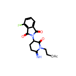 CC(=O)OCCN1C(=N)CCC(N2C(=O)c3cccc(F)c3C2=O)C1=O